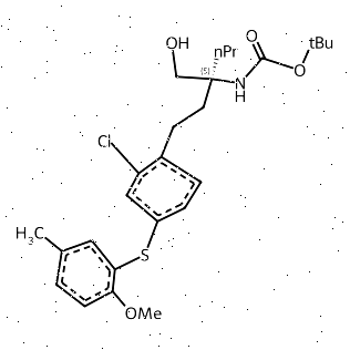 CCC[C@@](CO)(CCc1ccc(Sc2cc(C)ccc2OC)cc1Cl)NC(=O)OC(C)(C)C